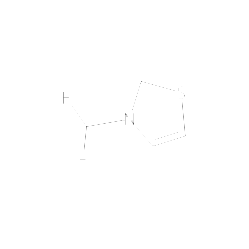 FC(F)N1C=CSC1